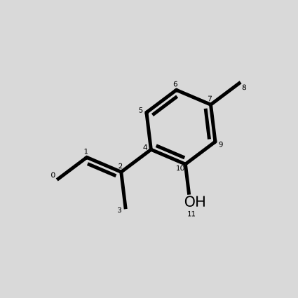 C/C=C(\C)c1ccc(C)cc1O